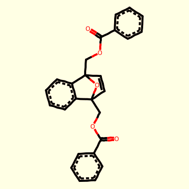 O=C(OCC12C=CC(COC(=O)c3ccccc3)(O1)c1ccccc12)c1ccccc1